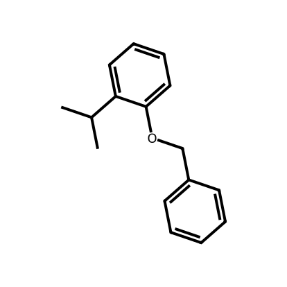 CC(C)c1ccccc1OCc1ccccc1